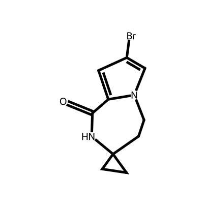 O=C1NC2(CCn3cc(Br)cc31)CC2